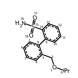 CC(C)OCc1ccccc1-c1ccccc1S(N)(=O)=O